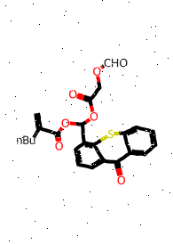 C=C(CCCC)C(=O)OC(OC(=O)COC=O)c1cccc2c(=O)c3ccccc3sc12